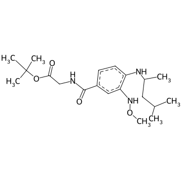 CONc1cc(C(=O)NCC(=O)OC(C)(C)C)ccc1NC(C)CC(C)C